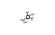 CC(C)c1cccc(C(C)C)c1O.O=[N+]([O-])O